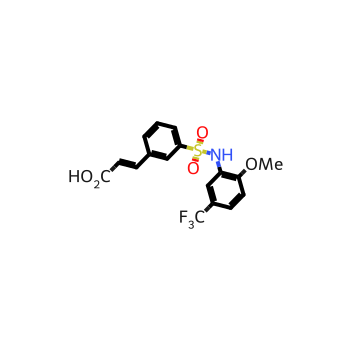 COc1ccc(C(F)(F)F)cc1NS(=O)(=O)c1cccc(/C=C/C(=O)O)c1